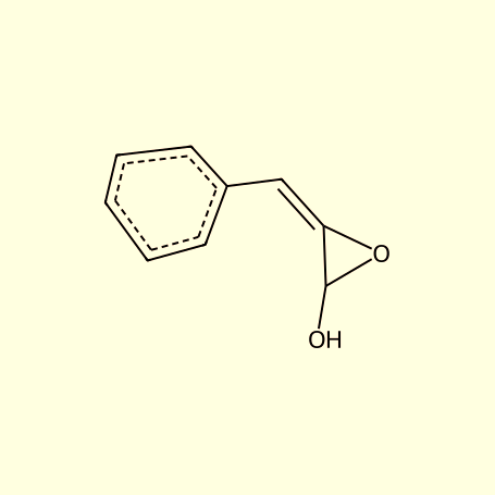 OC1OC1=Cc1ccccc1